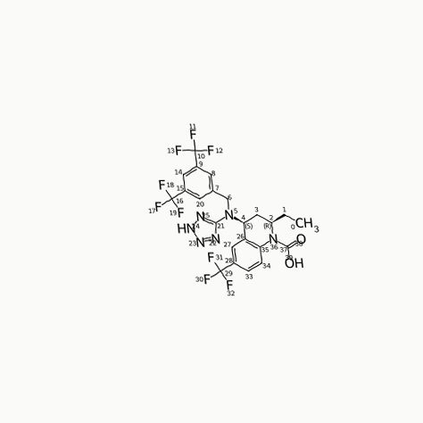 CC[C@@H]1C[C@H](N(Cc2cc(C(F)(F)F)cc(C(F)(F)F)c2)c2nn[nH]n2)c2cc(C(F)(F)F)ccc2N1C(=O)O